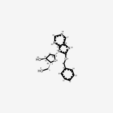 OC[C@H]1O[C@@H](n2c(OCc3ccccc3)nc3cncnc32)C[C@@H]1O